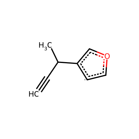 C#CC(C)c1[c]coc1